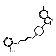 Oc1cc[c]cc1OC/C=C/CN1CCC(c2onc3cc(F)ccc23)CC1